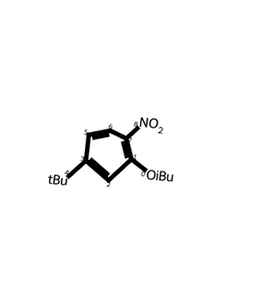 CC(C)COc1cc(C(C)(C)C)ccc1[N+](=O)[O-]